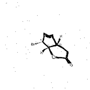 O=C1C[C@H]2C=C[C@@H](Br)[C@H]2O1